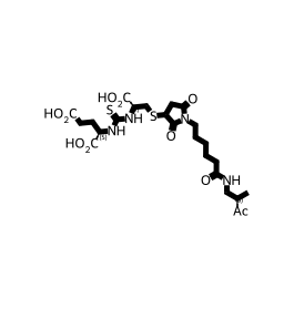 CC(=O)[C@@H](C)CNC(=O)CCCCCN1C(=O)CC(SC[C@H](NC(=S)N[C@@H](CCC(=O)O)C(=O)O)C(=O)O)C1=O